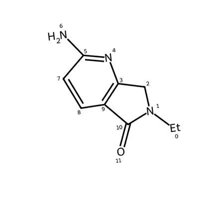 CCN1Cc2nc(N)ccc2C1=O